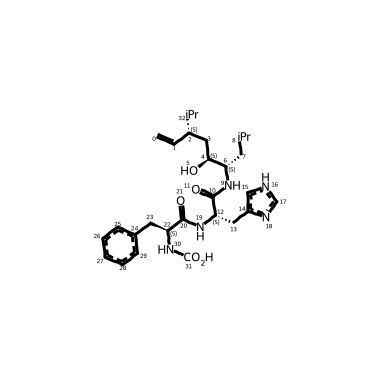 C=C[C@@H](C[C@H](O)[C@H](CC(C)C)NC(=O)[C@H](Cc1c[nH]cn1)NC(=O)[C@H](Cc1ccccc1)NC(=O)O)C(C)C